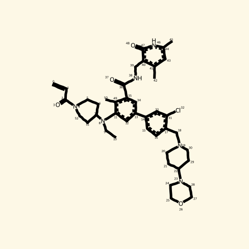 C=CC(=O)N1CCC(N(CC)c2cc(-c3ccc(CN4CCC(N5CCOCC5)CC4)c(Cl)c3)cc(C(=O)NCc3c(C)cc(C)[nH]c3=O)c2C)CC1